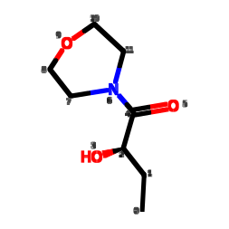 CC[C@@H](O)C(=O)N1CCOCC1